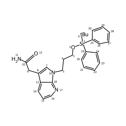 CC(C)(C)[Si](OCCCn1cc(CC(N)=O)c2cccnc21)(c1ccccc1)c1ccccc1